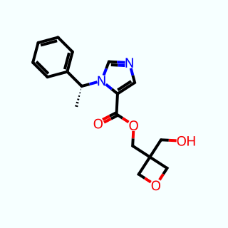 C[C@H](c1ccccc1)n1cncc1C(=O)OCC1(CO)COC1